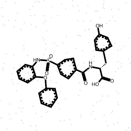 O=C(N[C@H](Cc1ccc(O)cc1)C(=O)O)c1ccc(S(=O)(=O)Nc2ccccc2Oc2ccccc2)cc1